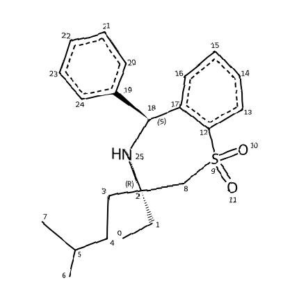 CC[C@@]1(CCC(C)C)CS(=O)(=O)c2ccccc2[C@H](c2ccccc2)N1